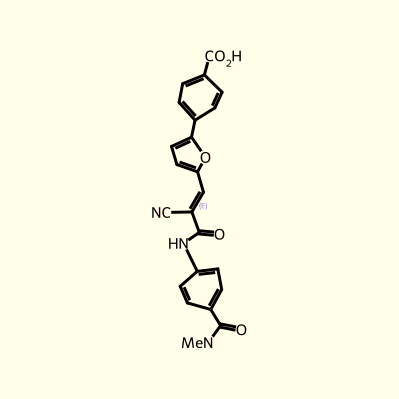 CNC(=O)c1ccc(NC(=O)/C(C#N)=C/c2ccc(-c3ccc(C(=O)O)cc3)o2)cc1